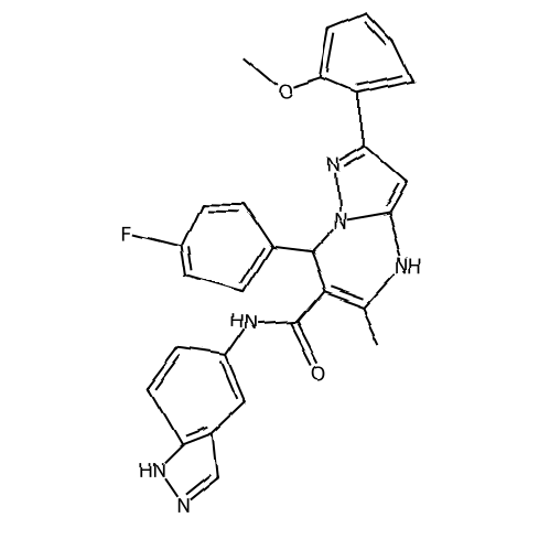 COc1ccccc1-c1cc2n(n1)C(c1ccc(F)cc1)C(C(=O)Nc1ccc3[nH]ncc3c1)=C(C)N2